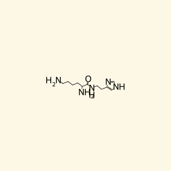 NCCCCC(N)C(=O)NCCc1c[nH]cn1